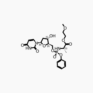 COCCOC(=O)[C@H](C)N[P@](=O)(OC[C@H]1O[C@@H](n2ccc(=O)[nH]c2=O)C[C@@H]1O)Oc1ccccc1